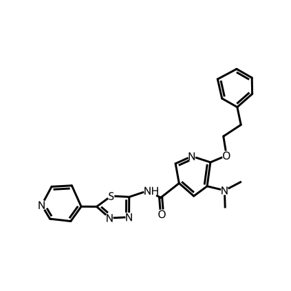 CN(C)c1cc(C(=O)Nc2nnc(-c3ccncc3)s2)cnc1OCCc1ccccc1